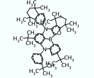 CC(C)(C)c1cccc(N2c3cc(C(C)(C)C)ccc3B3c4oc5c(c4N(c4ccc6c(c4)C(C)(C)CCC6(C)C)c4cc(C(C)(C)C)cc2c43)C(C)(C)CCC5(C)C)c1